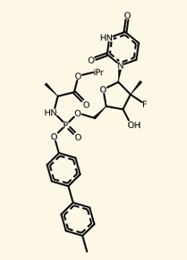 Cc1ccc(-c2ccc(OP(=O)(N[C@@H](C)C(=O)OC(C)C)OC[C@H]3O[C@@H](n4ccc(=O)[nH]c4=O)[C@](C)(F)C3O)cc2)cc1